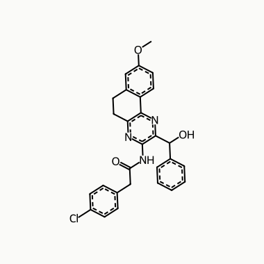 COc1ccc2c(c1)CCc1nc(NC(=O)Cc3ccc(Cl)cc3)c(C(O)c3ccccc3)nc1-2